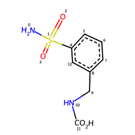 NS(=O)(=O)c1cccc(CNC(=O)O)c1